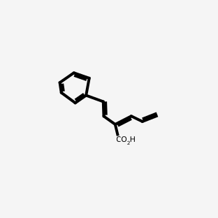 C=CC=C(C=Cc1ccccc1)C(=O)O